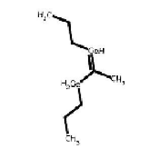 CC[CH2][GeH]=[C](C)[GeH2][CH2]CC